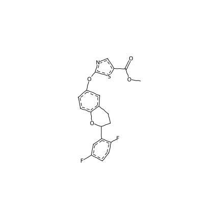 COC(=O)c1cnc(Oc2ccc3c(c2)CCC(c2cc(F)ccc2F)O3)s1